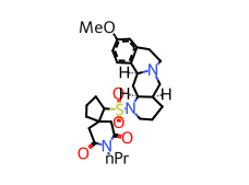 CCCN1C(=O)CC2(CCCC2S(=O)(=O)N2CCC[C@@H]3CN4CCc5cc(OC)ccc5[C@@H]4C[C@@H]32)CC1=O